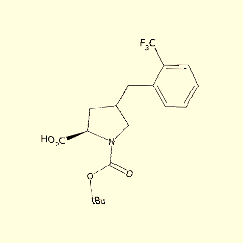 CC(C)(C)OC(=O)N1CC(Cc2ccccc2C(F)(F)F)C[C@@H]1C(=O)O